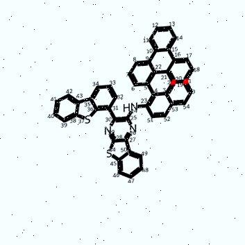 c1ccc2c(-c3cccc4c5ccccc5c5ccccc5c34)c(Nc3nc4c(nc3-c3cccc5c3sc3ccccc35)sc3ccccc34)ccc2c1